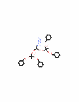 CC(COCc1ccccc1)(COCc1ccccc1)COCC(CN=[N+]=[N-])COCC(C)(COCc1ccccc1)COCc1ccccc1